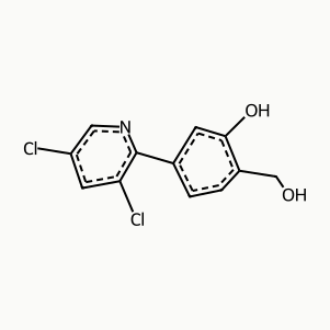 OCc1ccc(-c2ncc(Cl)cc2Cl)cc1O